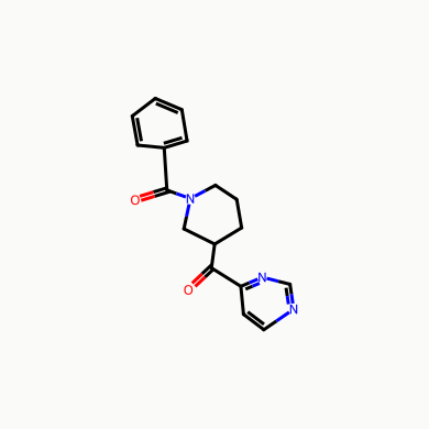 O=C(c1ccncn1)C1CCCN(C(=O)c2ccccc2)C1